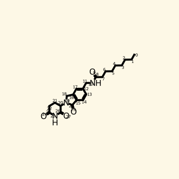 CCCCCCCCC(=O)NCc1ccc2c(c1)CN(C1CCC(=O)NC1=O)C2=O